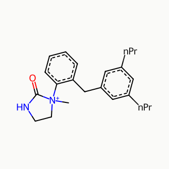 CCCc1cc(CCC)cc(Cc2ccccc2[N+]2(C)CCNC2=O)c1